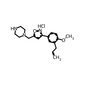 C=CCc1cc(-c2cc(CN3CCNCC3)on2)ccc1OC.Cl